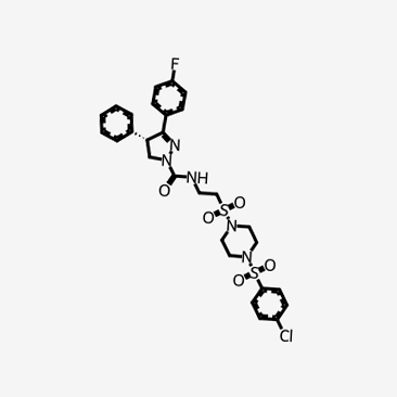 O=C(NCCS(=O)(=O)N1CCN(S(=O)(=O)c2ccc(Cl)cc2)CC1)N1C[C@H](c2ccccc2)C(c2ccc(F)cc2)=N1